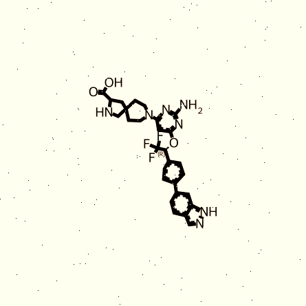 Nc1nc(O[C@H](c2ccc(-c3ccc4cn[nH]c4c3)cc2)C(F)(F)F)cc(N2CCC3(CC2)CNC(C(=O)O)C3)n1